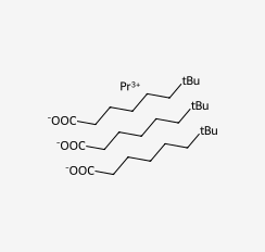 CC(C)(C)CCCCCC(=O)[O-].CC(C)(C)CCCCCC(=O)[O-].CC(C)(C)CCCCCC(=O)[O-].[Pr+3]